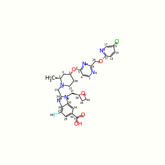 C[C@H]1C[C@@H](Oc2ccnc(COc3ccc(Cl)cn3)n2)CCN1Cc1nc2c(F)cc(C(=O)O)cc2n1C[C@@H]1CCO1